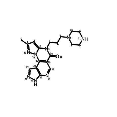 Cc1cc2n(CCCN3CCNCC3)c(=O)c3cnc4[nH]ncc4c3n2n1